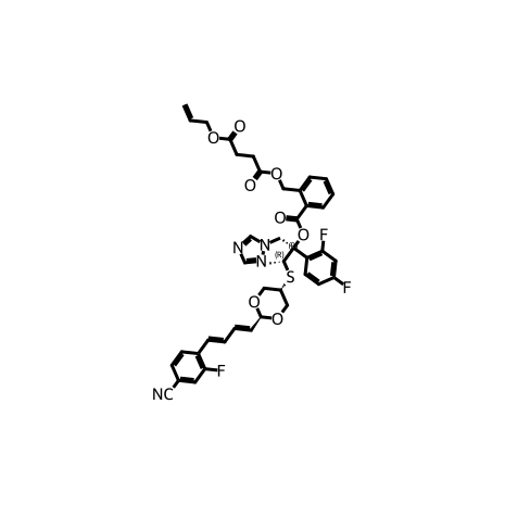 C=CCOC(=O)CCC(=O)OCc1ccccc1C(=O)O[C@@](Cn1cncn1)(c1ccc(F)cc1F)[C@@H](C)S[C@H]1CO[C@H](C=CC=Cc2ccc(C#N)cc2F)OC1